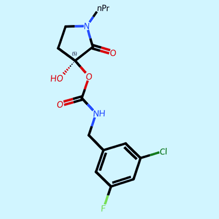 CCCN1CC[C@](O)(OC(=O)NCc2cc(F)cc(Cl)c2)C1=O